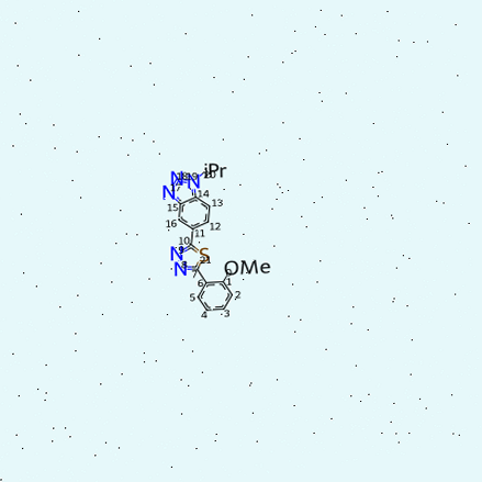 COc1ccccc1-c1nnc(-c2ccc3c(c2)nnn3C(C)C)s1